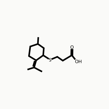 CC(C)=C1CCC(C)CC1SCCC(=O)O